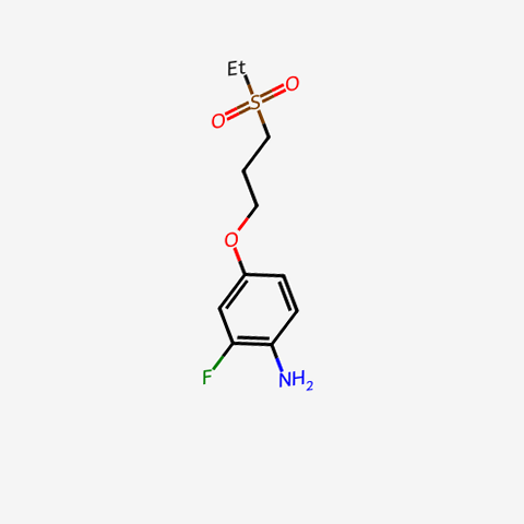 CCS(=O)(=O)CCCOc1ccc(N)c(F)c1